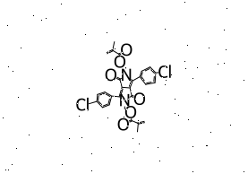 C=C(C)C(=O)OCN1C(=O)C2=C(c3ccc(Cl)cc3)N(COC(=O)C(=C)C)C(=O)C2=C1c1ccc(Cl)cc1